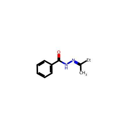 CCC(C)=NNC(=O)c1ccccc1